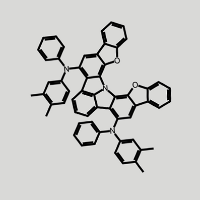 Cc1ccc(N(c2ccccc2)c2cc3c4ccccc4oc3c3c2c2cccc4c5c(N(c6ccccc6)c6ccc(C)c(C)c6)cc6c7ccccc7oc6c5n3c24)cc1C